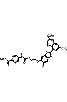 CNC(=O)c1ncc(NC(=O)OCCOc2cc3sc(-c4cc(C)cc5nc(OC)cnc45)nc3cc2F)cn1